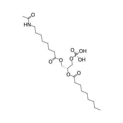 CCCCCCCCC(=O)O[C@H](COC(=O)CCCCCCCNC(C)=O)COP(=O)(O)O